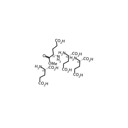 COC(=O)[C@@H](N)CCC(=O)O.N[C@@H](CCC(=O)O)C(=O)O.N[C@@H](CCC(=O)O)C(=O)O.N[C@@H](CCC(=O)O)C(=O)O